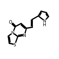 O=c1cc(/C=C/c2ccc[nH]2)nc2sccn12